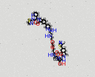 Cc1ncsc1-c1ccc([C@H](C)NC(=O)[C@@H]2C[C@@H](O)CN2C(=O)[C@@H](NC(=O)CCOCCOCCNCCNc2ccc(-c3ccc4c(c3)C(=O)N(C(C(=O)Nc3nccs3)c3ccccc3)C4)cn2)C(C)(C)C)cc1